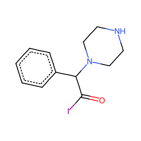 O=C(I)C(c1ccccc1)N1CCNCC1